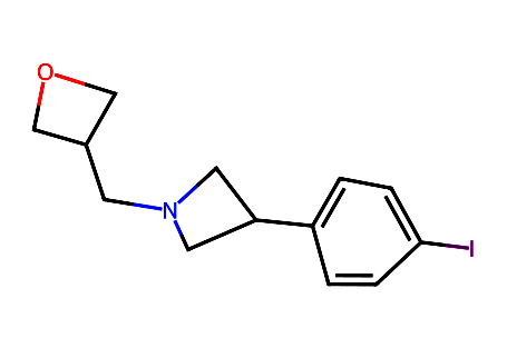 Ic1ccc(C2CN(CC3COC3)C2)cc1